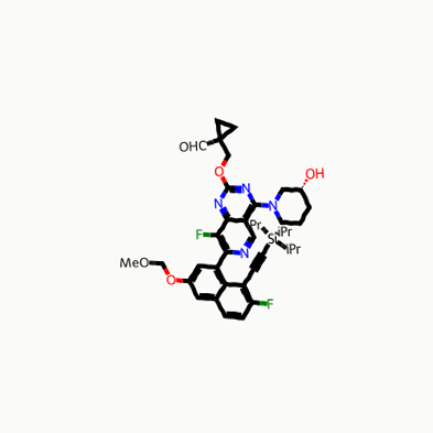 COCOc1cc(-c2ncc3c(N4CCC[C@@H](O)C4)nc(OCC4(C=O)CC4)nc3c2F)c2c(C#C[Si](C(C)C)(C(C)C)C(C)C)c(F)ccc2c1